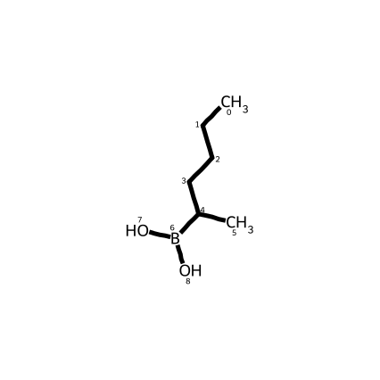 CCCCC(C)B(O)O